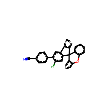 N#Cc1ccc(-c2cc3c(cc2Cl)C2(c4ccccc4Oc4ccccc42)c2ccccc2-3)cc1